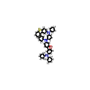 c1ccc(N(c2cccc(N(c3ccccc3)c3ccc4sc5ccccc5c4c3)c2)c2ccc3c(c2)oc2ccc(N(c4ccccc4)c4ccccc4)cc23)cc1